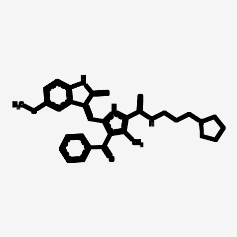 COc1ccc2c(c1)C(=Cc1[nH]c(C(=O)NCCCN3CCCC3)c(C)c1C(=O)c1ccccc1)C(=O)N2